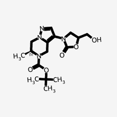 C[C@H]1Cn2ncc(N3CC(CO)OC3=O)c2CN1C(=O)OC(C)(C)C